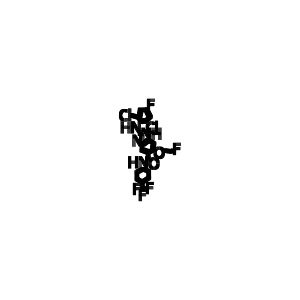 O=C(NC1CCC(C(F)(F)F)CC1)c1cc2nc(Nc3c(Cl)cc(F)cc3Cl)[nH]c2cc1OCCF